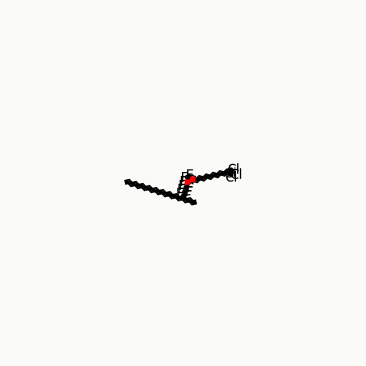 CCCCCCCCCCCCCCCCCC(CCCC)C(F)(F)C(F)(F)C(F)(F)C(F)(F)C(F)(F)[Si](C)(C)CCCCCCCCCC[Si](Cl)(Cl)Cl